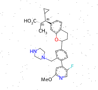 COc1cc(-c2ccc(C3CCc4ccc([C@H](C5CC5)[C@H](C)C(=O)O)cc4O3)cc2CN2CCNCC2)c(F)cn1